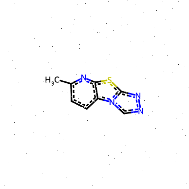 Cc1ccc2c(n1)sc1nncn12